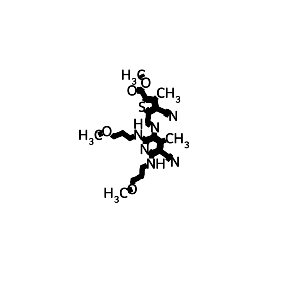 COCCCNc1nc(NCCCOC)c(/N=C/c2sc(C(=O)OC)c(C)c2C#N)c(C)c1C#N